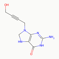 Nc1nc2c(c(=O)[nH]1)NCN2CC#CCO